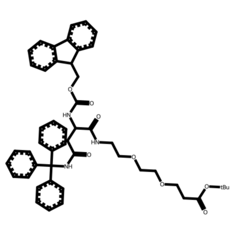 CC(C)(C)OC(=O)CCOCCOCCNC(=O)C(CC(=O)NC(c1ccccc1)(c1ccccc1)c1ccccc1)NC(=O)OCC1c2ccccc2-c2ccccc21